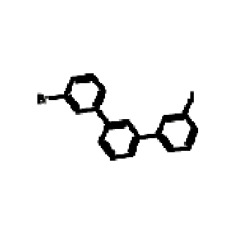 Brc1cccc(-c2cccc(-c3cccc(I)c3)c2)c1